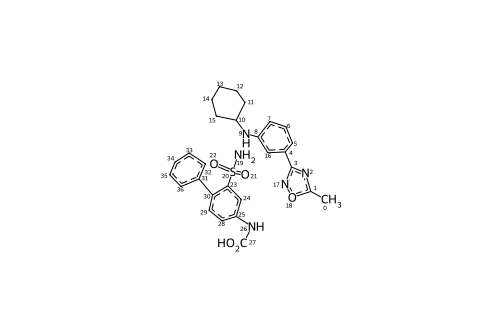 Cc1nc(-c2cccc(NC3CCCCC3)c2)no1.NS(=O)(=O)c1cc(NC(=O)O)ccc1-c1ccccc1